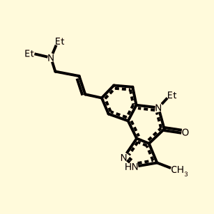 CCN(CC)CC=Cc1ccc2c(c1)c1n[nH]c(C)c1c(=O)n2CC